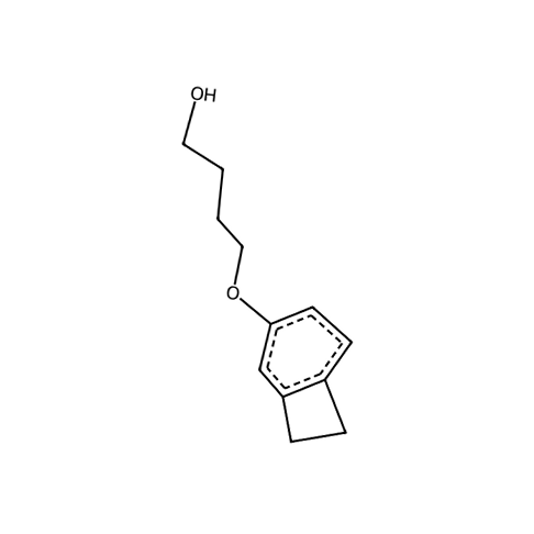 OCCCCOc1ccc2c(c1)CC2